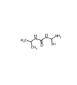 CC(C)NC(=O)NC(N)S